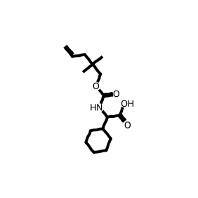 C=CCC(C)(C)COC(=O)NC(C(=O)O)C1CCCCC1